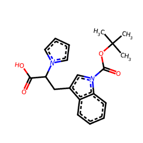 CC(C)(C)OC(=O)n1cc(CC(C(=O)O)n2cccc2)c2ccccc21